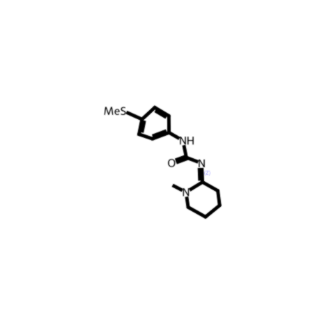 CSc1ccc(NC(=O)/N=C2/CCCCN2C)cc1